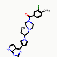 COc1ccc(C(=O)N2CCN(CC(CC#N)n3ccc(-c4ncnc5[nH]ccc45)c3)CC2)cc1F